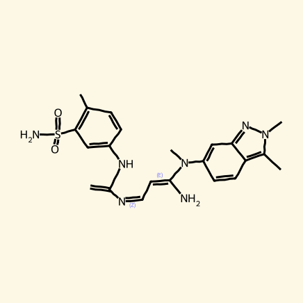 C=C(/N=C\C=C(/N)N(C)c1ccc2c(C)n(C)nc2c1)Nc1ccc(C)c(S(N)(=O)=O)c1